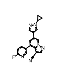 N#Cc1cnn2cc(-c3cnn(C4CC4)c3)cc(-c3ccc(F)nc3)c12